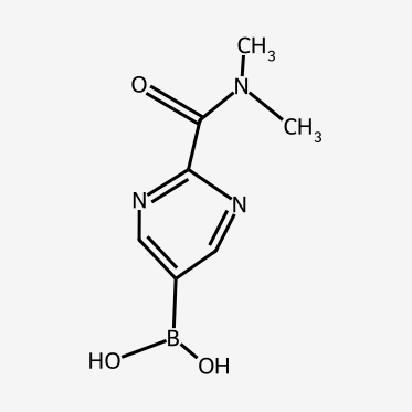 CN(C)C(=O)c1ncc(B(O)O)cn1